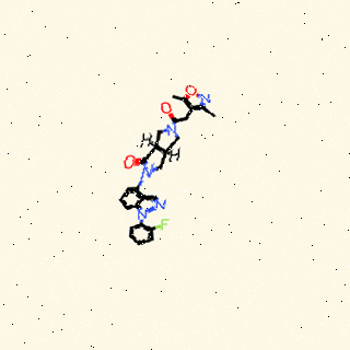 Cc1noc(C)c1CC(=O)N1C[C@@H]2CN(c3cccc4c3cnn4-c3ccccc3F)C(=O)[C@@H]2C1